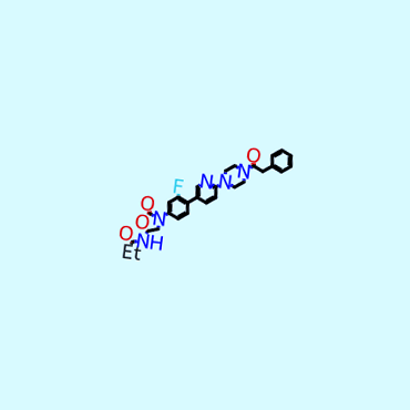 CCC(=O)NC1CN(c2ccc(-c3ccc(N4CCN(C(=O)Cc5ccccc5)CC4)nc3)c(F)c2)C(=O)O1